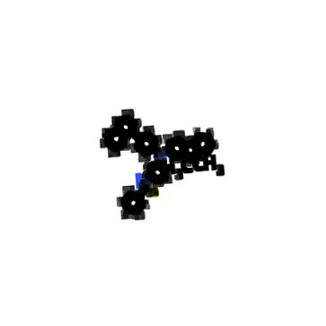 CC1(C)c2ccccc2-c2ccc(N(c3ccc(-c4cccc5ccccc45)cc3)c3ccc4sc(-c5ccccc5)nc4c3)cc21